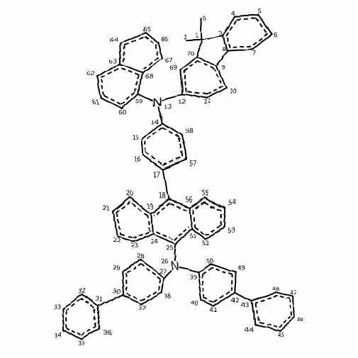 CC1(C)c2ccccc2-c2ccc(N(c3ccc(-c4c5ccccc5c(N(c5ccc(-c6ccccc6)cc5)c5ccc(-c6ccccc6)cc5)c5ccccc45)cc3)c3cccc4ccccc34)cc21